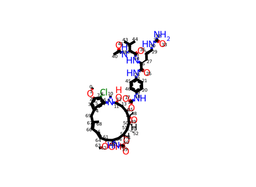 COc1cc2cc(c1Cl)N(C)C(O)C[C@H](OC(=O)Nc1ccc(NC(=O)[C@H](CCCNC(N)=O)NC(=O)[C@@H](NC(C)=O)C(C)C)cc1)[C@]1(C)O[C@H]1[C@H](C)[C@@H]1C[C@@](O)(NC(=O)O1)[C@H](OC)/C=C/C=C(\C)C2